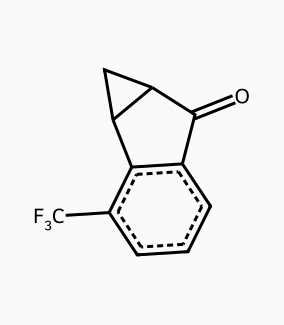 O=C1c2cccc(C(F)(F)F)c2C2CC12